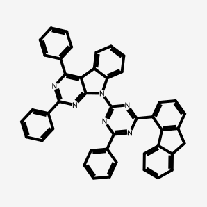 c1ccc(-c2nc(-c3cccc4c3-c3ccccc3C4)nc(-n3c4ccccc4c4c(-c5ccccc5)nc(-c5ccccc5)nc43)n2)cc1